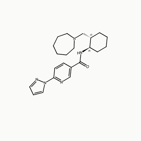 O=C(N[C@@H]1CCCC[C@H]1CN1CCCCCC1)c1ccc(-n2cccn2)nc1